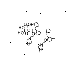 Cc1ccc(OCCN2CCN(C)CC2)c(Cc2ccccc2)c1.Cc1ccc(OCCN2CCN(C)CC2)c(Cc2ccccc2)c1.O=C(O)C(O)C(O)C(=O)O